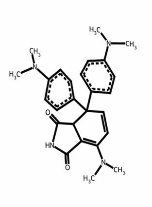 CN(C)C1=C2C(=O)NC(=O)C2C(c2ccc(N(C)C)cc2)(c2ccc(N(C)C)cc2)C=C1